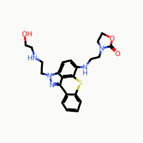 O=C1OCCN1CCNc1ccc2c3c(nn2CCNCCO)-c2ccccc2Sc13